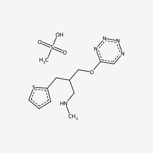 CNCC(COc1cnnnn1)Cc1cccs1.CS(=O)(=O)O